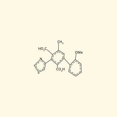 COc1ccccc1-c1cc(C)c(C(=O)O)c(-c2cscn2)c1C(=O)O